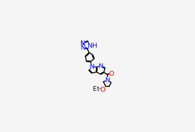 CCO[C@H]1CCN(C(=O)c2cnc3c(ccn3-c3ccc(-c4nnc[nH]4)cc3)c2)C1